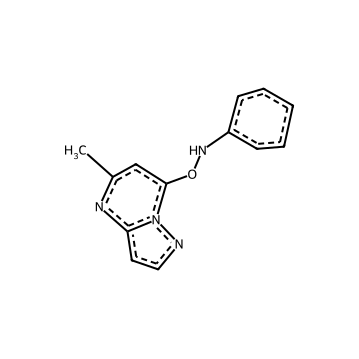 Cc1cc(ONc2ccccc2)n2nccc2n1